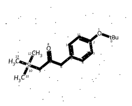 CC(C)(C)Oc1ccc(CC(=O)C[Si](C)(C)C)cc1